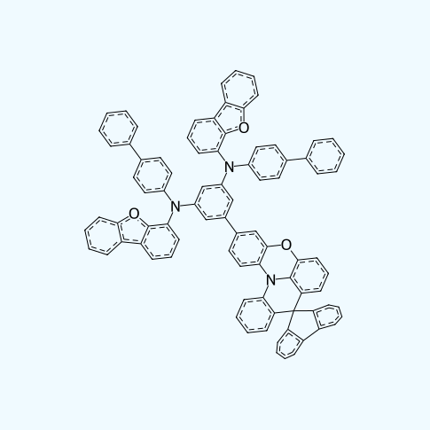 c1ccc(-c2ccc(N(c3cc(-c4ccc5c(c4)Oc4cccc6c4N5c4ccccc4C64c5ccccc5-c5ccccc54)cc(N(c4ccc(-c5ccccc5)cc4)c4cccc5c4oc4ccccc45)c3)c3cccc4c3oc3ccccc34)cc2)cc1